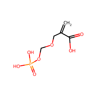 C=C(COCOP(=O)(O)O)C(=O)O